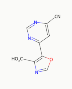 N#Cc1cc(-c2ocnc2C(=O)O)ncn1